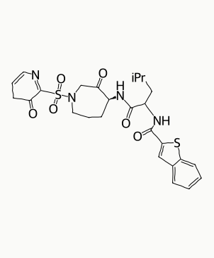 CC(C)CC(NC(=O)c1cc2ccccc2s1)C(=O)N[C@H]1CCCN(S(=O)(=O)C2=NC=CCC2=O)CC1=O